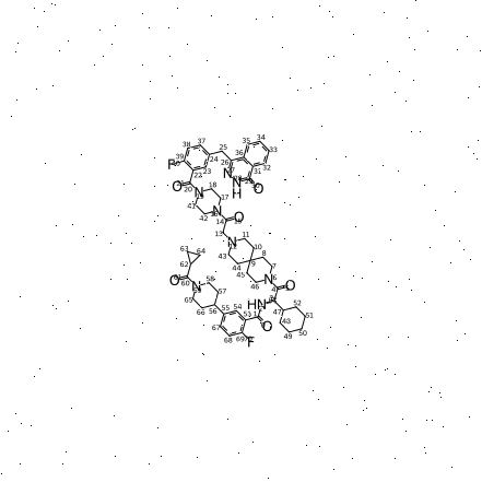 O=C(N[C@@H](C(=O)N1CCC2(CCN(CC(=O)N3CCN(C(=O)c4cc(Cc5n[nH]c(=O)c6ccccc56)ccc4F)CC3)CC2)CC1)C1CCCCC1)c1cc(C2CCN(C(=O)C3CC3)CC2)ccc1F